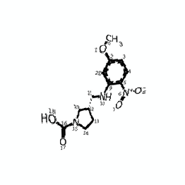 COc1ccc([N+](=O)[O-])c(NC[C@@H]2CCN(C(=O)O)C2)c1